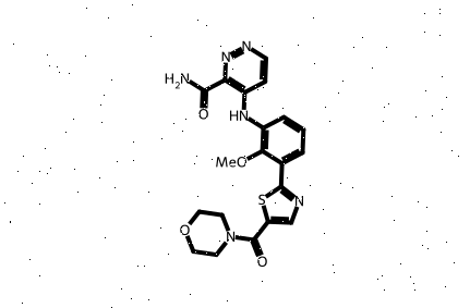 COc1c(Nc2ccnnc2C(N)=O)cccc1-c1ncc(C(=O)N2CCOCC2)s1